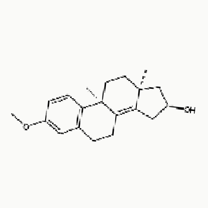 COc1ccc2c(c1)CCC1=C3C[C@H](O)C[C@]3(C)CC[C@@]12C